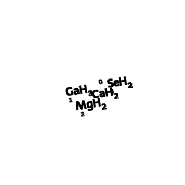 [CaH2].[GaH3].[MgH2].[SeH2]